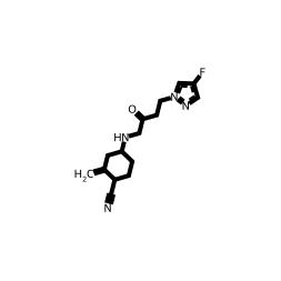 C=C1CC(NCC(=O)CCn2cc(F)cn2)CCC1C#N